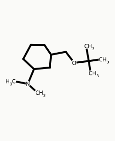 CN(C)C1CCCC(COC(C)(C)C)C1